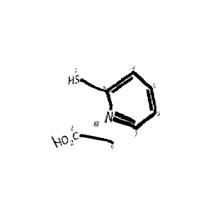 CC(=O)O.Sc1ccccn1